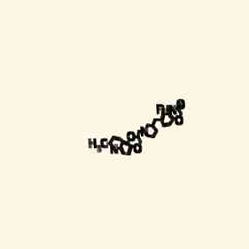 Cc1ccc2c3c(ccc2n1)OCC(CN1CCCC(Cc2ccc4c(c2F)NC(=O)CO4)C1)O3